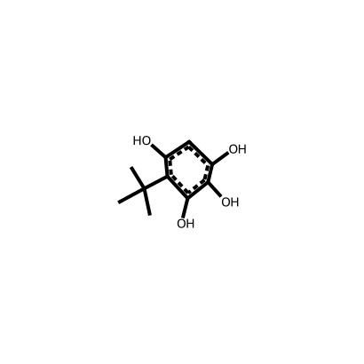 CC(C)(C)c1c(O)cc(O)c(O)c1O